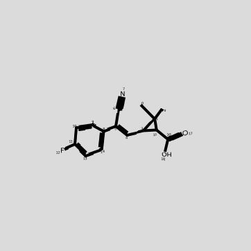 CC1(C)C(C=C(C#N)c2ccc(F)cc2)C1C(=O)O